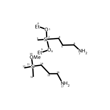 CCO[Si](C)(CCCN)OCC.CO[Si](C)(C)CCCN